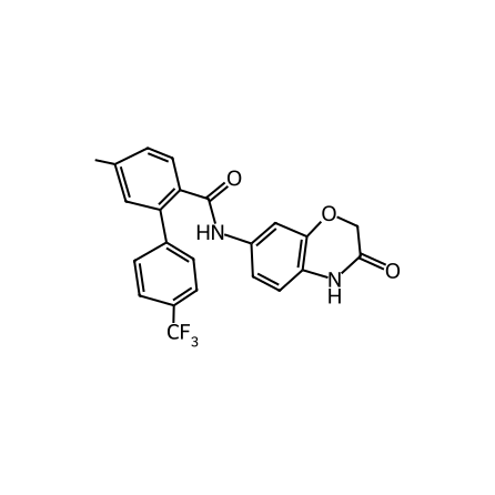 Cc1ccc(C(=O)Nc2ccc3c(c2)OCC(=O)N3)c(-c2ccc(C(F)(F)F)cc2)c1